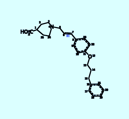 O=C(O)C1CCN(C/C=C/c2ccc(OCCCc3ccccc3)cc2)CC1